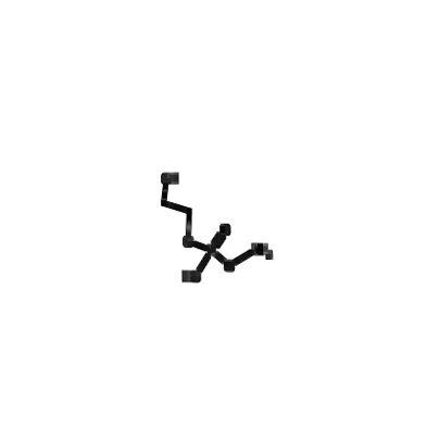 BOP(=O)(O)OCCO